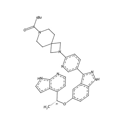 C[C@@H](Oc1ccc2[nH]nc(-c3ccc(N4CC5(CCN(C(=O)C(C)(C)C)CC5)C4)nc3)c2c1)c1ccnc2[nH]ccc12